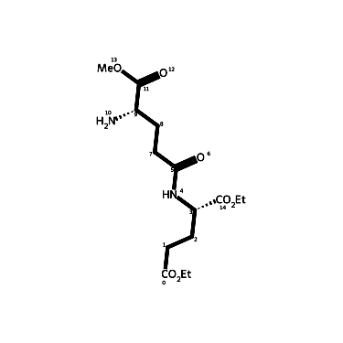 CCOC(=O)CC[C@H](NC(=O)CC[C@H](N)C(=O)OC)C(=O)OCC